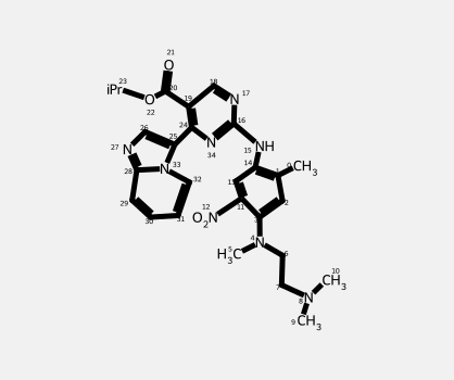 Cc1cc(N(C)CCN(C)C)c([N+](=O)[O-])cc1Nc1ncc(C(=O)OC(C)C)c(-c2cnc3ccccn23)n1